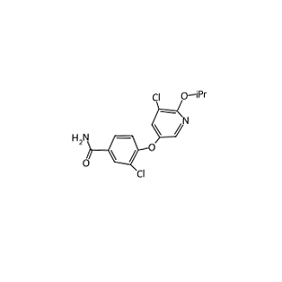 CC(C)Oc1ncc(Oc2ccc(C(N)=O)cc2Cl)cc1Cl